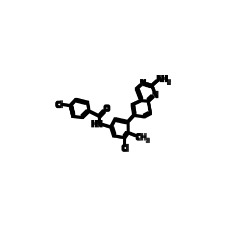 Cc1c(Cl)cc(NC(=O)c2ccc(Cl)cc2)cc1-c1ccc2nc(N)ncc2c1